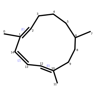 CC1=C\CCCC(C)CC/C(C)=C/C=C\1